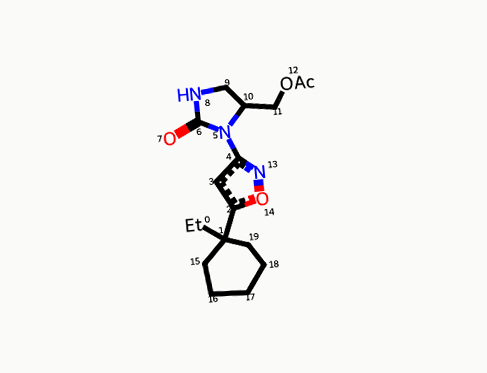 CCC1(c2cc(N3C(=O)NCC3COC(C)=O)no2)CCCCC1